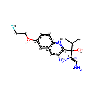 CC(C)C(O)(/C(N)=C/N)c1ccc2cc(OCCF)ccc2n1